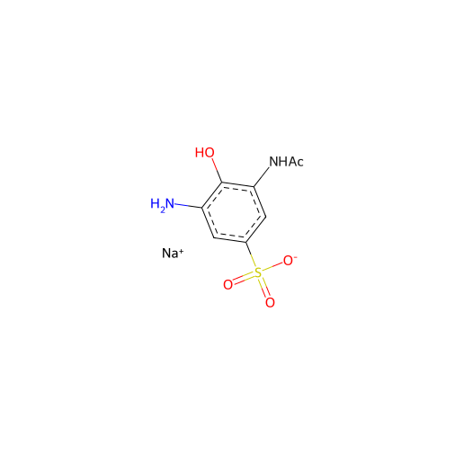 CC(=O)Nc1cc(S(=O)(=O)[O-])cc(N)c1O.[Na+]